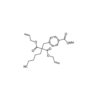 C=CCOC(=O)C(CCCCC#N)(Cc1ccc(C(=O)OC)cc1)C(=O)OCC=C